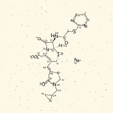 O=C(CSc1ncccn1)N[C@@H]1C(=O)N2C(C(=O)[O-])=C(/C=C3\CCN(CC4CC4)C3=O)CS[C@H]12.[Na+]